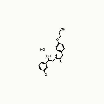 CC(Cc1ccc(OCCO)cc1)NCC(O)c1cccc(Cl)n1.Cl